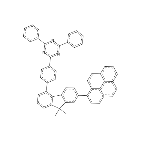 CC1(C)c2cc(-c3ccc4ccc5cccc6ccc3c4c56)ccc2-c2c(-c3ccc(-c4nc(-c5ccccc5)nc(-c5ccccc5)n4)cc3)cccc21